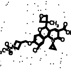 CC1(C2Oc3cc(OCC4CN(S(C)(=O)=O)C4)c(Cl)cc3-c3c2cc(C(=O)O)c(=O)n3C2CC2)COC1